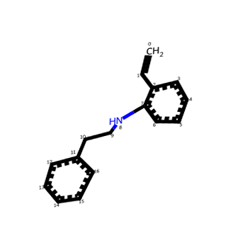 C=Cc1ccccc1NCCc1ccccc1